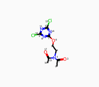 CC(=O)N(CCOc1nc(Cl)nc(Cl)n1)C(C)=O